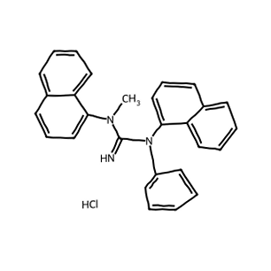 CN(C(=N)N(c1ccccc1)c1cccc2ccccc12)c1cccc2ccccc12.Cl